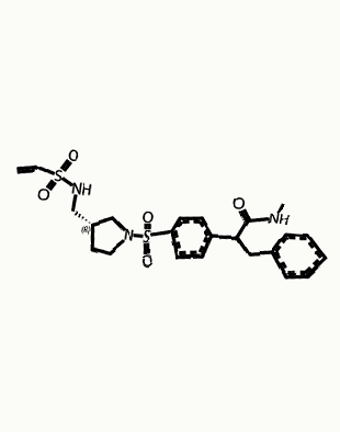 C=CS(=O)(=O)NC[C@H]1CCN(S(=O)(=O)c2ccc(C(Cc3ccccc3)C(=O)NC)cc2)C1